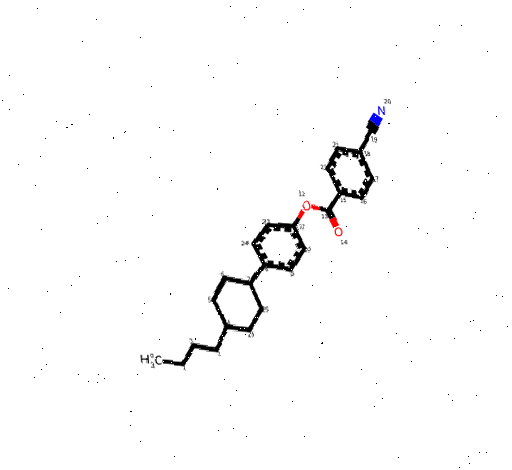 CCCCC1CCC(c2ccc(OC(=O)c3ccc(C#N)cc3)cc2)CC1